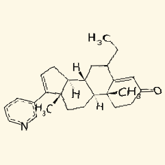 CCC1C[C@@H]2[C@H](CC[C@]3(C)C(c4cccnc4)=CC[C@@H]23)[C@@]2(C)CCC(=O)C=C12